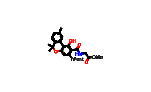 CCCCCc1cc2c(c(O)c1C(=O)NCC(=O)OC)-c1cc(C)ccc1C(C)(C)O2